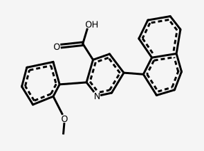 COc1ccccc1-c1ncc(-c2cccc3ccccc23)cc1C(=O)O